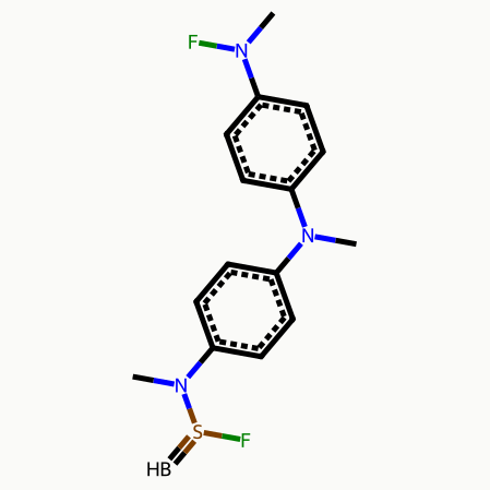 B=S(F)N(C)c1ccc(N(C)c2ccc(N(C)F)cc2)cc1